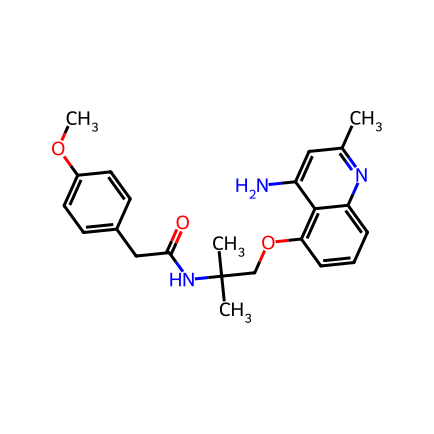 COc1ccc(CC(=O)NC(C)(C)COc2cccc3nc(C)cc(N)c23)cc1